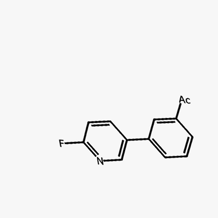 CC(=O)c1cccc(-c2ccc(F)nc2)c1